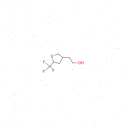 OCCC1CSC(C(F)(F)F)C1